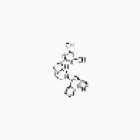 Cc1cc(C)nc(N2CC[C@@H]3CCN(C(=O)c4ccccc4-n4nccn4)C[C@@H]32)n1